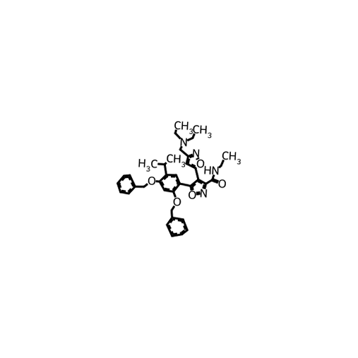 CCNC(=O)c1noc(-c2cc(C(C)C)c(OCc3ccccc3)cc2OCc2ccccc2)c1-c1cc(CN(CC)CC)no1